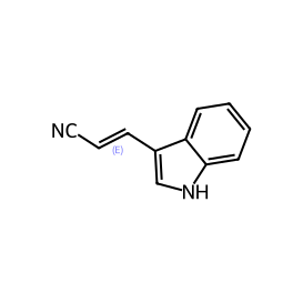 N#C/C=C/c1c[nH]c2ccccc12